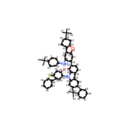 CC(C)(C)c1ccc(Nc2cc3c(cc2-c2ccc4c5cc6c(cc5n5c4c2Bc2cc4sc7ccccc7c4cc2-5)C(C)(C)c2ccccc2-6)oc2cc(C(C)(C)C)ccc23)cc1